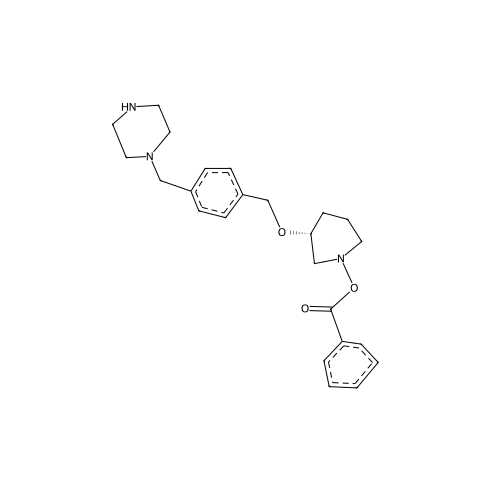 O=C(ON1CCC[C@@H](OCc2ccc(CN3CCNCC3)cc2)C1)c1ccccc1